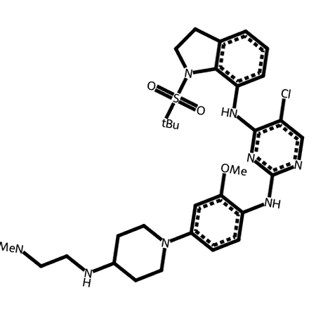 CNCCNC1CCN(c2ccc(Nc3ncc(Cl)c(Nc4cccc5c4N(S(=O)(=O)C(C)(C)C)CC5)n3)c(OC)c2)CC1